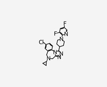 Fc1cnc(N2CCC(c3nnc4n3-c3ccc(Cl)cc3CN(C3CC3)C4)CC2)c(F)c1